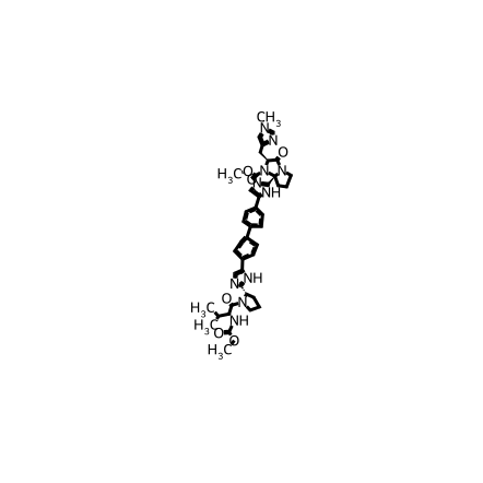 COC(=O)N[C@H](C(=O)N1CCC[C@H]1c1ncc(-c2ccc(-c3ccc(-c4cnc([C@]56CCCN5C(=O)[C@H](Cc5cn(C)cn5)N6C(=O)OC)[nH]4)cc3)cc2)[nH]1)C(C)C